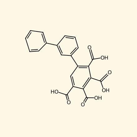 O=C(O)c1cc(-c2cccc(-c3ccccc3)c2)c(C(=O)O)c(C(=O)O)c1C(=O)O